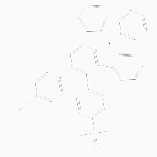 CP(C)(=O)c1ccc(-c2ccc3c(c2-c2ccc(P(C)(C)=O)cc2)-c2ccccc2C3(c2ccccc2)c2ccccc2)cc1